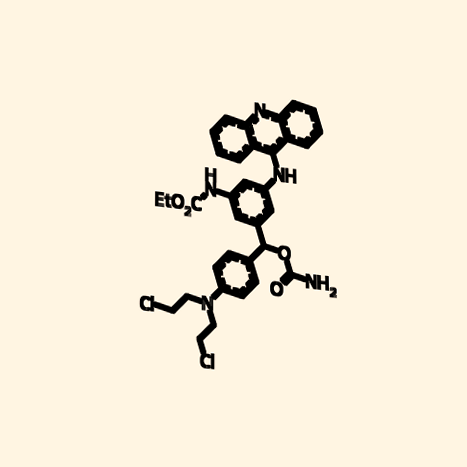 CCOC(=O)Nc1cc(Nc2c3ccccc3nc3ccccc23)cc(C(OC(N)=O)c2ccc(N(CCCl)CCCl)cc2)c1